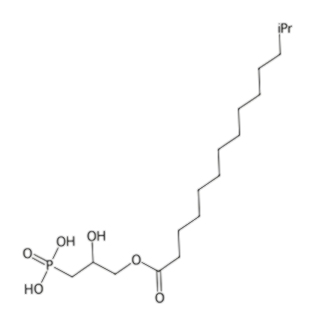 CC(C)CCCCCCCCCCCC(=O)OCC(O)CP(=O)(O)O